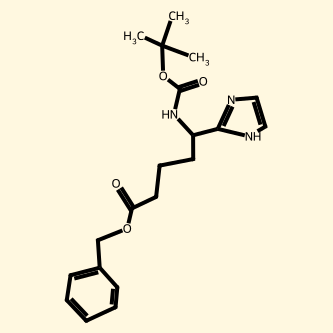 CC(C)(C)OC(=O)NC(CCCC(=O)OCc1ccccc1)c1ncc[nH]1